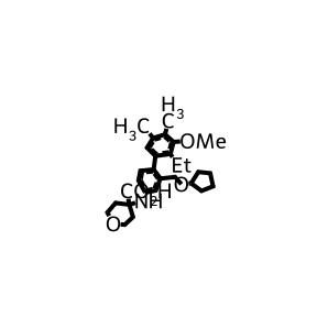 CCc1c(-c2ccc(NC3(C(=O)O)CCOCC3)cc2COC2CCCC2)cc(C)c(C)c1OC